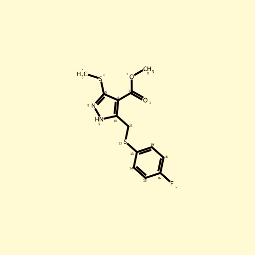 COC(=O)c1c(SC)n[nH]c1CSc1ccc(F)cc1